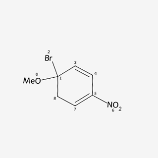 COC1(Br)C=CC([N+](=O)[O-])=CC1